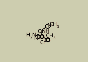 Cc1cccc(Cl)c1-c1cc(C(=O)NCC2CCN(C)CC2)c2cc(N)ncc2c1